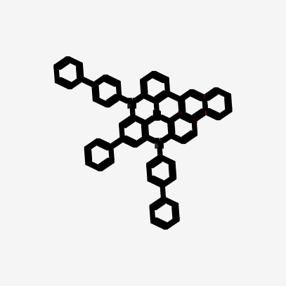 c1ccc(-c2ccc(N3c4ccc(-c5ccccc5)cc4B4c5c(-c6ccccc6)cccc5N(c5ccc(-c6ccccc6)cc5)c5cc(-c6ccccc6)cc3c54)cc2)cc1